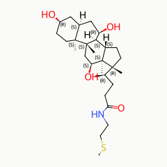 CSCCNC(=O)CC[C@@H](C)[C@@]1(C)CC[C@H]2[C@@H]3[C@H](O)C[C@@H]4C[C@H](O)CC[C@]4(C)[C@@]3(C)C[C@H](O)[C@@]21C